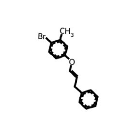 Cc1cc(OC=CCc2ccccc2)ccc1Br